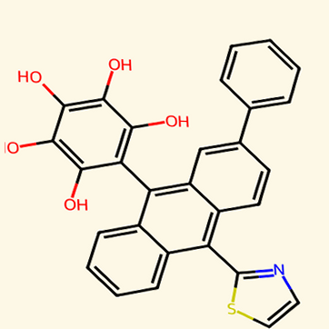 Oc1c(O)c(O)c(-c2c3ccccc3c(-c3nccs3)c3ccc(-c4ccccc4)cc23)c(O)c1O